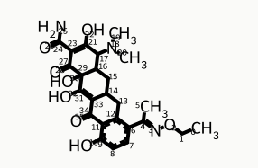 CCO/N=C(\C)c1ccc(O)c2c1CC1CC3C(N(C)C)C(O)=C(C(N)=O)C(=O)C3(O)C(O)=C1C2=O